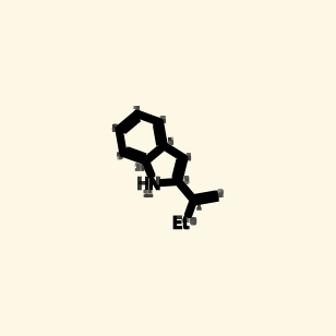 [CH2]CC(=C)c1cc2ccccc2[nH]1